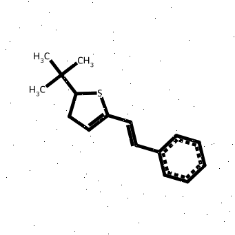 CC(C)(C)C1CC=C(/C=C/c2ccccc2)S1